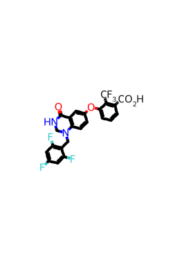 O=C1NCN(Cc2c(F)cc(F)cc2F)c2ccc(Oc3cccc(C(=O)O)c3C(F)(F)F)cc21